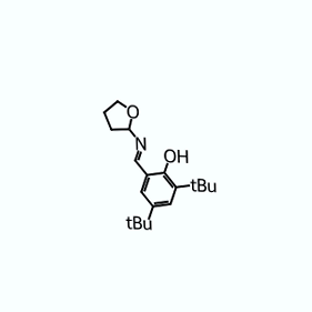 CC(C)(C)c1cc(C=NC2CCCO2)c(O)c(C(C)(C)C)c1